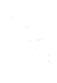 FC(F)c1nnc(-c2ccn3cc(CNc4ccc(C(F)(F)F)cc4)nc3c2)o1